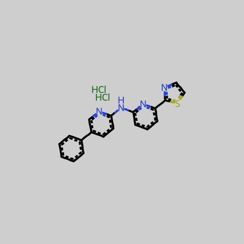 Cl.Cl.c1ccc(-c2ccc(Nc3cccc(-c4nccs4)n3)nc2)cc1